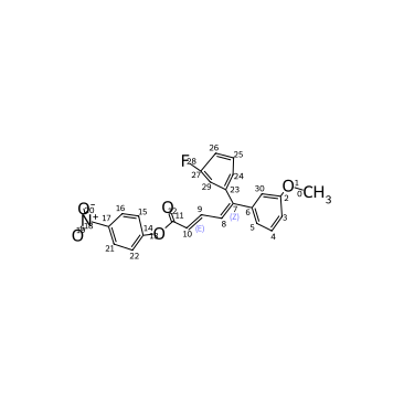 COc1cccc(/C(=C/C=C/C(=O)Oc2ccc([N+](=O)[O-])cc2)c2cccc(F)c2)c1